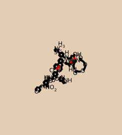 Cc1ncsc1-c1ccc(CNC(=O)C2CC(O)CN2C(=O)C2C(N3CC(COc4cccc(-c5ccc(Cl)cc5)c4CN4CCN(c5ccc(C(=O)NS(=O)(=O)c6ccc(NCC7CCOCC7)c([N+](=O)[O-])c6)c(Oc6cnc7[nH]ccc7c6)c5)CC4)C3)CNC(=O)CCOCCOCCC(=O)NC2C(C)(C)C)cc1